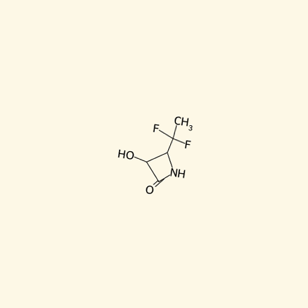 CC(F)(F)C1NC(=O)C1O